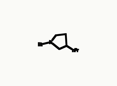 [CH2]CCC1CCN(CC)C1